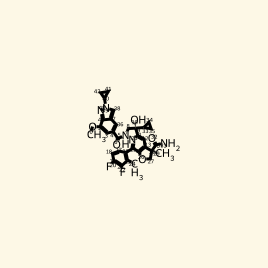 COc1cc(C(=O)NC[C@](O)(c2cc3c(c(-c4ccc(F)c(F)c4C)n2)OC[C@]3(C)C(N)=O)C2CC2)cc2cn(C3CC3)nc12